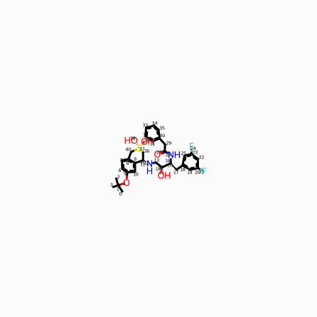 CC(C)(C)Oc1ccc2c(c1)[C@@H](NC[C@H](O)[C@H](Cc1cc(F)cc(F)c1)NC(=O)Cc1ccccc1)CS(O)(O)C2